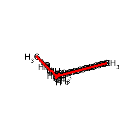 CCCCCCCCCCCCCCCC(=O)NCCCCCC(=O)NCCCCCC(=O)N[C@H](C(=O)N[C@@H](CCCCNC(=O)CCOCCOCCOCCOCCOCCOCCOCCOCCOCCOCCOCCOCCOCCOCCOCCOC)C(C)=O)[C@@H](C)CC